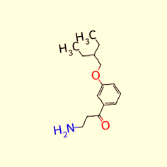 CCC(CC)COc1cccc(C(=O)CCN)c1